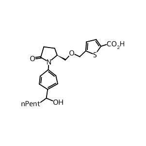 CCCCCC(O)c1ccc(N2C(=O)CC[C@H]2COCc2ccc(C(=O)O)s2)cc1